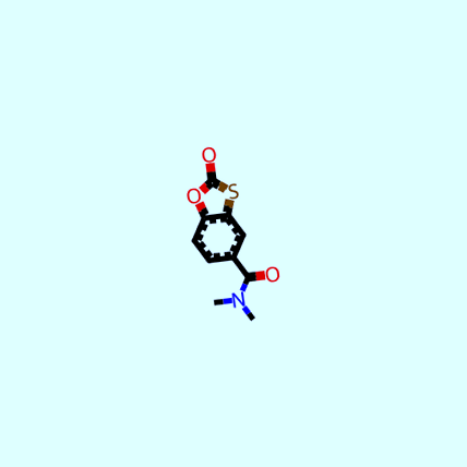 CN(C)C(=O)c1ccc2oc(=O)sc2c1